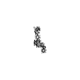 Cc1nnc2n1CCN(C1CCC(n3cc(-c4ccc(Oc5ccccc5)cc4)c4c(N)ncnc43)CC1)C2